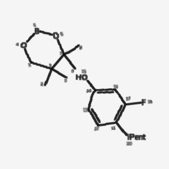 CC1(C)CO[B]OC1(C)C.CCCC(C)c1ccc(O)cc1F